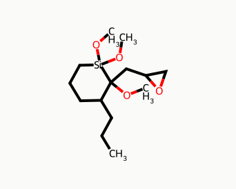 CCCC1CCC[Si](OC)(OC)C1(CC1CO1)OC